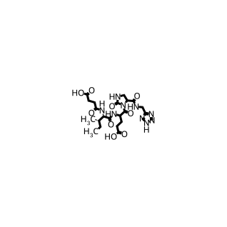 CC[C@H](C)[C@H](NC(=O)CCC(=O)O)C(=O)NC(CCC(=O)O)C(=O)N1C(=O)NCC1C(=O)NCc1nn[nH]n1